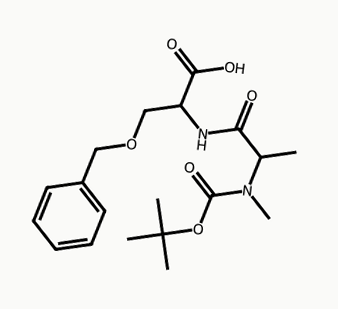 CC(C(=O)NC(COCc1ccccc1)C(=O)O)N(C)C(=O)OC(C)(C)C